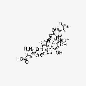 COC(=O)[C@@]1(O)C/C(O)=C/[C@@]2(C)CC(=O)C(OC(=O)[C@@H](N)CCC(=O)O)=C(C)C2C[C@@H]2C[C@H]1[C@@H](OC(=O)C=C(C)C)C(=O)O2